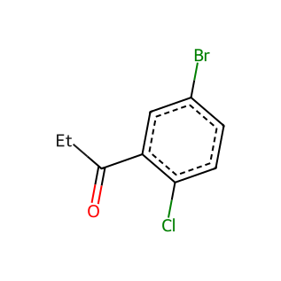 CCC(=O)c1cc(Br)ccc1Cl